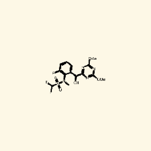 COc1nc(OC)nc(C(O)c2cccc(F)c2N(C)S(=O)(=O)C(F)F)n1